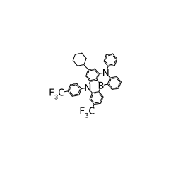 FC(F)(F)c1ccc(N2c3cc(C(F)(F)F)ccc3B3c4ccccc4N(c4ccccc4)c4cc(C5CCCCC5)cc2c43)cc1